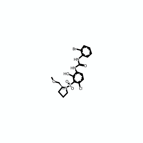 COC[C@@H]1CCCN1S(=O)(=O)c1c(Cl)ccc(NC(=O)Nc2ccccc2Br)c1O